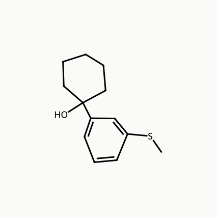 CSc1cccc(C2(O)CCCCC2)c1